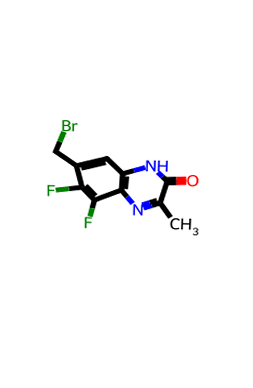 Cc1nc2c(F)c(F)c(CBr)cc2[nH]c1=O